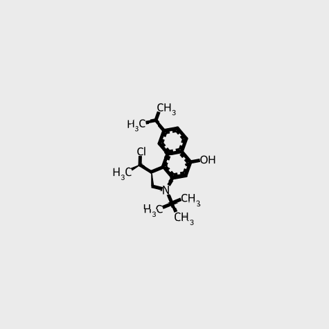 CC(C)c1ccc2c(O)cc3c(c2c1)[C@H]([C@@H](C)Cl)CN3C(C)(C)C